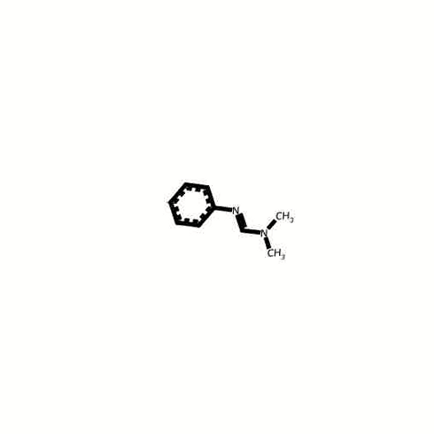 CN(C)/C=N/c1cc[c]cc1